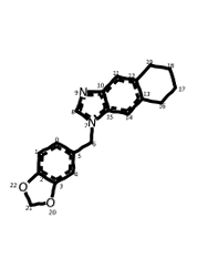 c1cc2c(cc1Cn1cnc3cc4c(cc31)CCCC4)OCO2